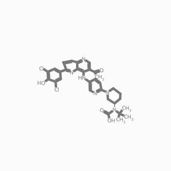 CC(=O)c1cnc2ccc(-c3cc(Cl)c(O)c(Cl)c3)nc2c1Nc1ccc(N2CCC[C@H](N(C(=O)O)C(C)(C)C)C2)nc1